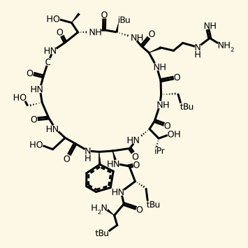 CC[C@H](C)[C@@H]1NC(=O)[C@@H](CCCNC(=N)N)NC(=O)[C@H](CC(C)(C)C)NC(=O)[C@H]([C@H](O)C(C)C)NC(=O)[C@@H](NC(=O)[C@H](CC(C)(C)C)NC(=O)[C@H](N)CC(C)(C)C)[C@@H](c2ccccc2)NC(=O)C(CO)NC(=O)[C@H](CO)NC(=O)CNC(=O)[C@H]([C@H](C)O)NC1=O